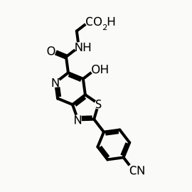 N#Cc1ccc(-c2nc3cnc(C(=O)NCC(=O)O)c(O)c3s2)cc1